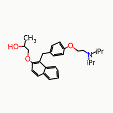 CC(O)COc1ccc2ccccc2c1Cc1ccc(OCCN(C(C)C)C(C)C)cc1